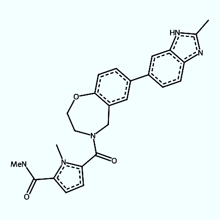 CNC(=O)c1ccc(C(=O)N2CCOc3ccc(-c4ccc5nc(C)[nH]c5c4)cc3C2)n1C